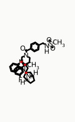 Cc1nc2ccccc2n1C1C[C@H]2CC[C@@H](C1)N2CCC1(c2cccc(F)c2)CCN(C(=O)c2ccc(CNS(C)(=O)=O)cc2)CC1